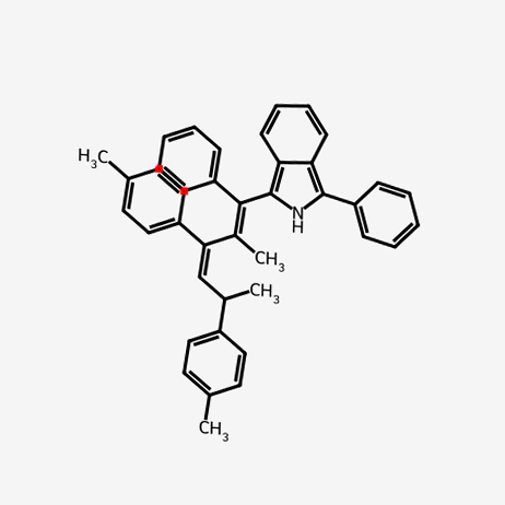 CC(/C(=C\C(C)c1ccc(C)cc1)c1ccc(C)cc1)=C(/c1ccccc1)c1[nH]c(-c2ccccc2)c2ccccc12